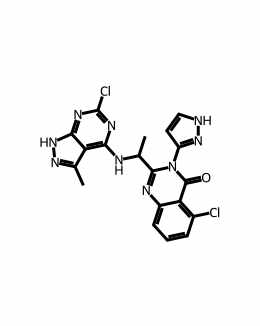 Cc1n[nH]c2nc(Cl)nc(NC(C)c3nc4cccc(Cl)c4c(=O)n3-c3cc[nH]n3)c12